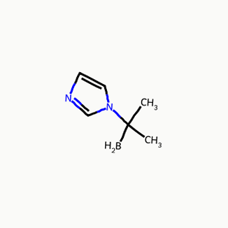 BC(C)(C)n1ccnc1